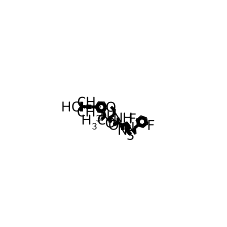 CN1C(=O)C(NC(=O)c2cn3c(-c4cc(F)ccc4F)csc3n2)COc2ccc(C#CC(C)(C)O)cc21